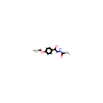 CCOc1ccc(C(=O)CNC(C)=O)cc1